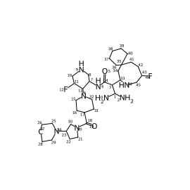 NC(N)C(C(=O)NC1CNCC(F)C1N1CCC(C(=O)N2CCC(N3CCCCC3)C2)CC1)C1CC2(CCCCC2)CCC(F)CN1